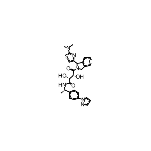 C[C@@H](NC(=O)[C@H](O)[C@@H](O)C(=O)N1Cc2ccccc2C1c1csc(N(C)C)n1)c1ccc(-n2cccn2)cc1